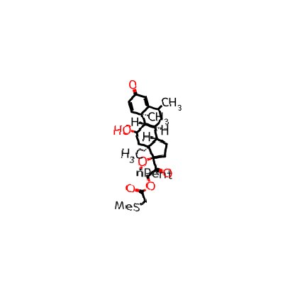 CCCCCO[C@]1(C(=O)COC(=O)CSC)CC[C@H]2[C@@H]3CC(C)C4=CC(=O)C=C[C@]4(C)[C@H]3C(O)C[C@@]21C